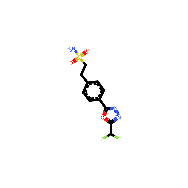 NS(=O)(=O)CCc1ccc(-c2nnc(C(F)F)o2)cc1